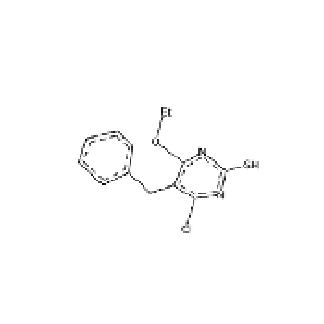 CCOc1nc(S)nc(Cl)c1Cc1ccccc1